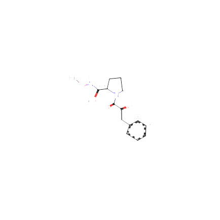 CCONC(=O)C1CCCN1C(=O)C(=O)Cc1ccccc1